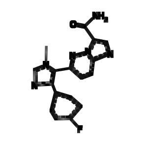 Cn1cnc(-c2ccc(F)cc2)c1-c1ccc2ncc(C(N)=O)n2n1